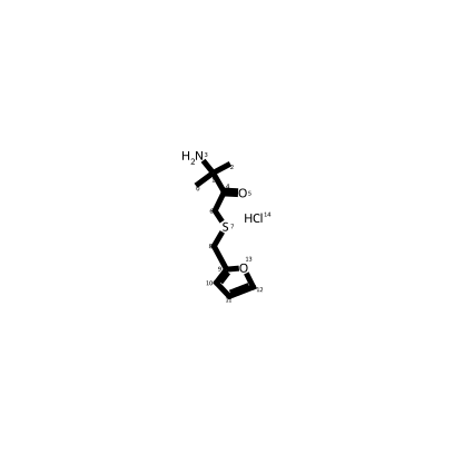 CC(C)(N)C(=O)CSCc1ccco1.Cl